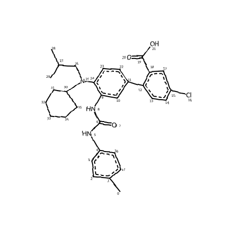 Cc1ccc(NC(=O)Nc2cc(-c3ccc(Cl)cc3C(=O)O)ccc2N(CC(C)C)C2CCCCC2)cc1